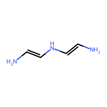 NC=CNC=CN